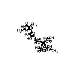 CCOP(=O)(O)OCC(COP(=O)(O)O)(COP(=O)(O)O)COP(=O)(O)OC[C@H]1O[C@@H](n2c[n+](C)c3c(=O)[nH]c(N)nc32)[C@H](O)[C@@H]1O